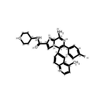 Cc1ccnc2ccc(-c3c(-c4ccc(F)cc4)nc(N)c4nc(C(=O)NC5CCOCC5)cn34)cc12